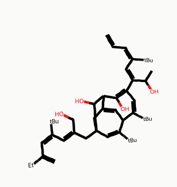 C=C\C=C(/C=C(C1=C(/O)C2C3=CC(C(C(C)(C)C)=CC(C/C(=C/C(=C\C(=C)CC)C(C)(C)C)CO)(C3)C2O)/C(C(C)(C)C)=C\1)\C(C)O)C(C)(C)C